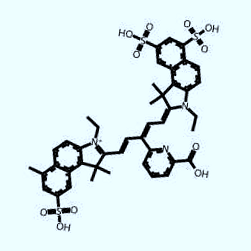 CCN1/C(=C/C=C(/C=C/C2=[N+](CC)c3ccc4c(C)cc(S(=O)(=O)O)cc4c3C2(C)C)c2cccc(C(=O)O)n2)C(C)(C)c2c1ccc1c(S(=O)(=O)O)cc(S(=O)(=O)O)cc21